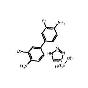 CCc1cc(-c2ccc(N)c(CC)c2)ccc1N.O=S(=O)(O)O.c1nnn[nH]1